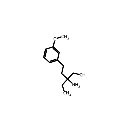 CCC(N)(CC)CCc1cc[c]c(OC)c1